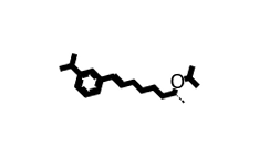 CC(C)O[C@H](C)CCCC/C=C/c1cccc(C(C)C)c1